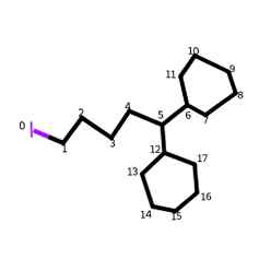 ICCCCC(C1CCCCC1)C1CCCCC1